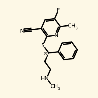 CNCC[C@@H](Sc1nc(C)c(F)cc1C#N)c1ccccc1